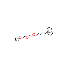 CCOCCOCCOCC[CH]CCC12CC3CC(CC(C3)C1)C2